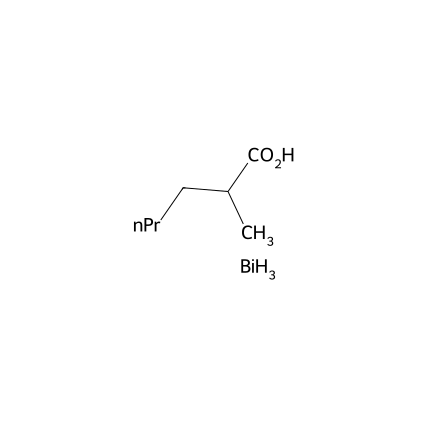 CCCCC(C)C(=O)O.[BiH3]